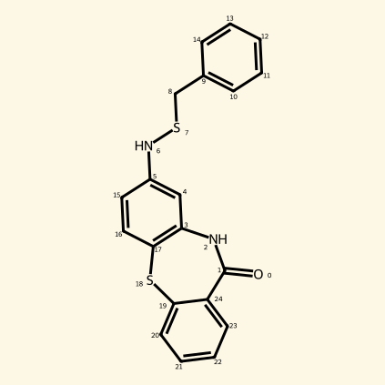 O=C1Nc2cc(NSCc3ccccc3)ccc2Sc2ccccc21